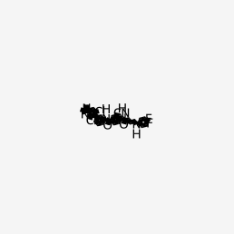 Cc1nc2c(Cl)c(-c3cccc(NC(=O)c4ccc(NC(=O)/C=C/CNC5CCC(F)(F)CC5)c(C#N)c4)c3)c(Cl)cc2n1C